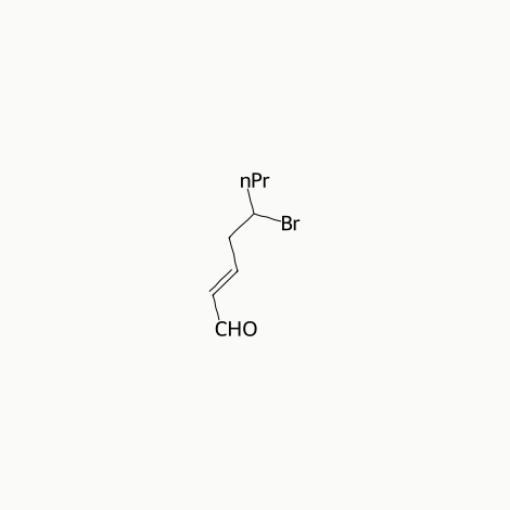 CCCC(Br)CC=CC=O